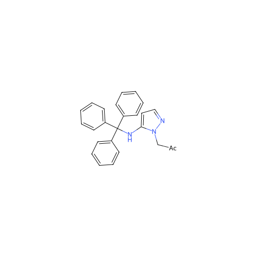 CC(=O)Cn1nccc1NC(c1ccccc1)(c1ccccc1)c1ccccc1